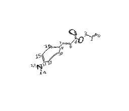 C=CCOC(=O)C=Cc1ccc(N(C)C)cc1